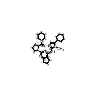 Cn1c(C2CCCCC2)cnc1Nc1nc(N2CCCC2C(=O)N2CCCCC2)nc2c1CCC2